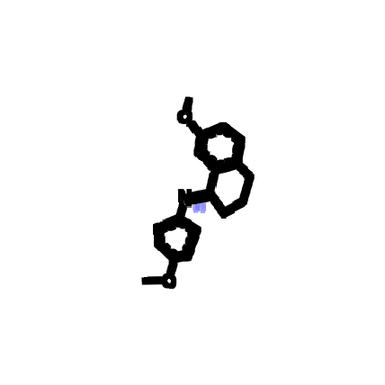 COc1ccc(/N=C2\CCCc3ccc(OC)cc32)cc1